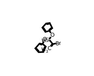 C=C(Br)[SiH](Oc1ccccc1)Oc1ccccc1